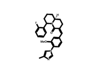 COc1cc(C=C2CC[C@@H]3CCCC(c4ccccc4F)N3C2=O)ccc1-n1cnc(C)c1